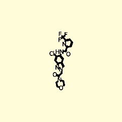 O=C(Nc1cc2cn(CC(=O)N3CCOCC3)nc2cc1Cl)c1cccc(C(F)(F)F)n1